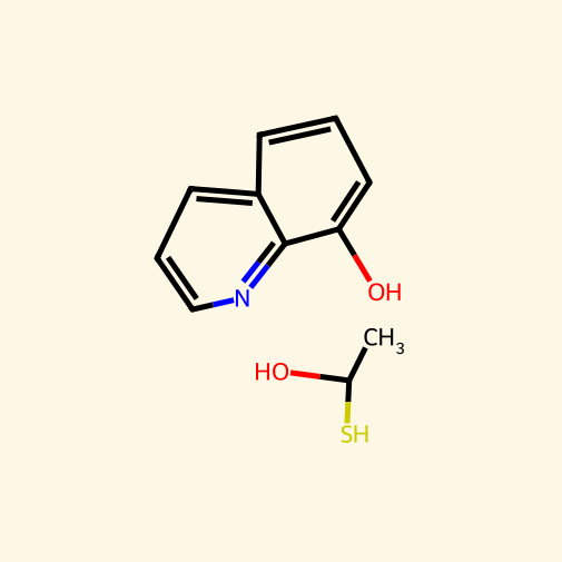 CC(O)S.Oc1cccc2cccnc12